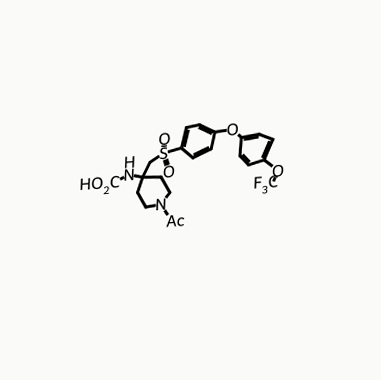 CC(=O)N1CCC(CS(=O)(=O)c2ccc(Oc3ccc(OC(F)(F)F)cc3)cc2)(NC(=O)O)CC1